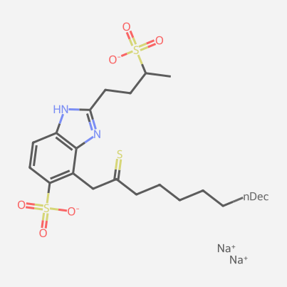 CCCCCCCCCCCCCCCC(=S)Cc1c(S(=O)(=O)[O-])ccc2[nH]c(CCC(C)S(=O)(=O)[O-])nc12.[Na+].[Na+]